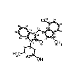 CCCC(CC(=O)O)n1c(=O)n(Cc2cn(C)c3cccc(Cl)c23)c2ccccc21